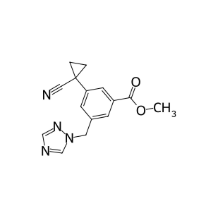 COC(=O)c1cc(Cn2cncn2)cc(C2(C#N)CC2)c1